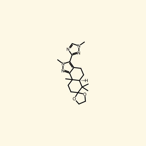 Cn1cnc(-c2c3c(nn2C)C2(C)CCC4(OCCO4)C(C)(C)[C@@H]2CC3)n1